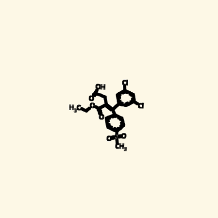 CCOC(=O)C(CC(=O)O)=C(c1ccc(S(C)(=O)=O)cc1)c1cc(Cl)cc(Cl)c1